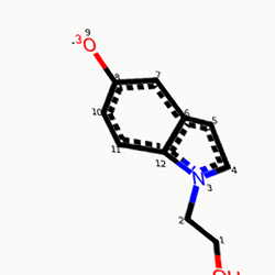 OCCn1ccc2cc([3O])ccc21